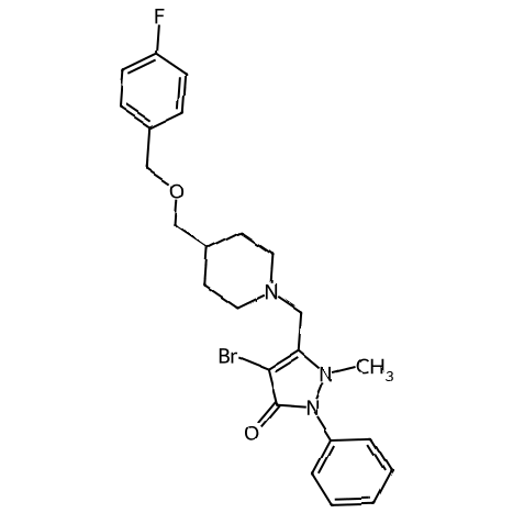 Cn1c(CN2CCC(COCc3ccc(F)cc3)CC2)c(Br)c(=O)n1-c1ccccc1